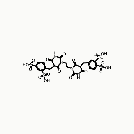 O=C1NC(=O)N(CCN2C(=O)NC(=O)C(Cc3ccc(S(=O)(=O)O)cc3S(=O)(=O)O)C2=O)C(=O)C1Cc1ccc(S(=O)(=O)O)c(S(=O)(=O)O)c1